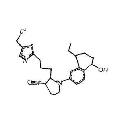 [C-]#[N+]C1CCN(c2ccc3c(c2)C(CC)CCC3O)C1CCCc1ncc(CO)s1